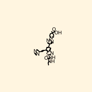 CCNC(=O)Nc1nc2cc(-c3cnc(N4CCC(C)(C(=O)O)CC4)nc3)cc(C#Cc3cnccn3)c2s1